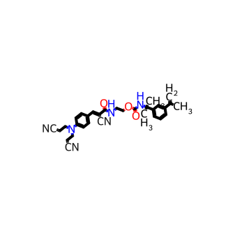 C=C(C)c1cccc(C(C)(C)NC(=O)OCCNC(=O)/C(C#N)=C/c2ccc(N(CCC#N)CCC#N)cc2)c1